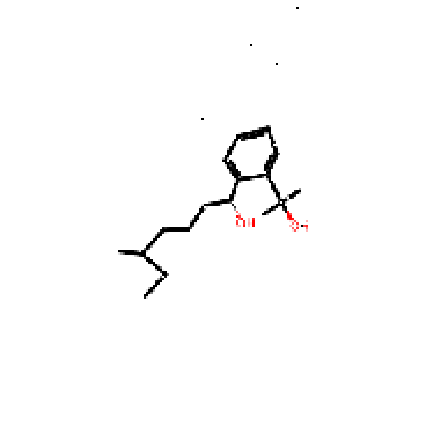 CCC(C)CCC[C@@H](O)c1ccccc1C(C)(C)O